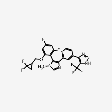 Cn1cnc(-c2cc(-c3nn[nH]c3C(F)(F)F)ccn2)c1-c1c(F)cc(F)cc1OCC1CC1(F)F